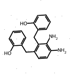 Nc1ccc(Cc2ccccc2O)c(Cc2ccccc2O)c1N